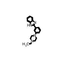 CCN1CCN(c2cccc(-c3nc4ccccc4[nH]3)c2)CC1